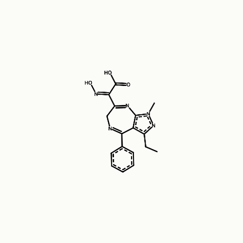 CCc1nn(C)c2c1C(c1ccccc1)=NCC(/C(=N/O)C(=O)O)=N2